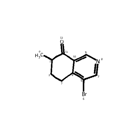 CC1CCc2c(Br)cncc2C1=O